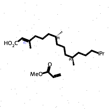 C/C(=C\C(=O)O)CCC[C@H](C)CCC[C@H](C)CCCC(C)C.C=CC(=O)OC